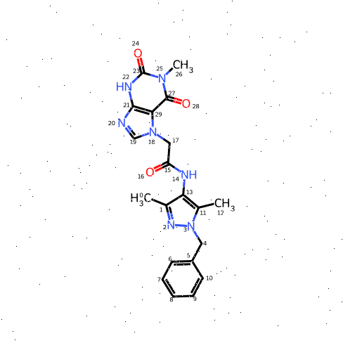 Cc1nn(Cc2ccccc2)c(C)c1NC(=O)Cn1cnc2[nH]c(=O)n(C)c(=O)c21